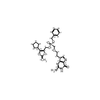 C=C1OC(COP(=O)(COCCn2cnc3c(=O)[nH]c(N)nc32)OCc2ccccc2)=C(C2CCCC2)O1